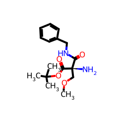 COC[C@@](N)(C(=O)NCc1ccccc1)C(=O)OC(C)(C)C